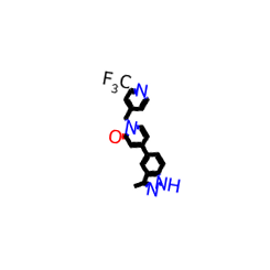 Cc1n[nH]c2ccc(-c3ccn(Cc4ccnc(C(F)(F)F)c4)c(=O)c3)cc12